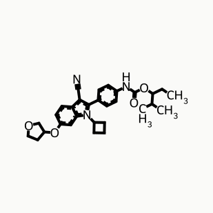 CCC(OC(=O)Nc1ccc(-c2c(C#N)c3ccc(OC4CCOC4)cc3n2C2CCC2)cc1)C(C)C